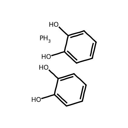 Oc1ccccc1O.Oc1ccccc1O.P